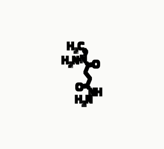 C=CN(N)C(=O)CCC(=O)NN